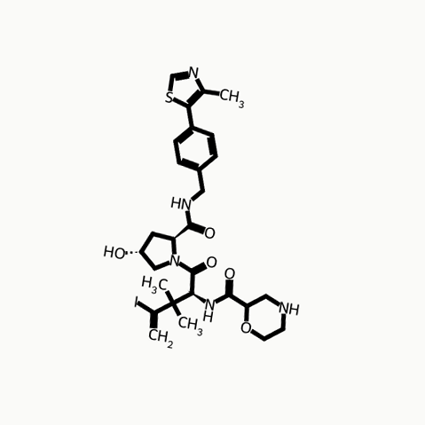 C=C(I)C(C)(C)[C@H](NC(=O)C1CNCCO1)C(=O)N1C[C@H](O)C[C@H]1C(=O)NCc1ccc(-c2scnc2C)cc1